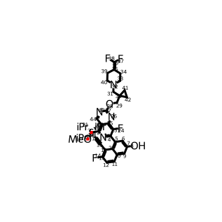 COCc1nc(-c2cc(O)cc3ccc(F)c(C#C[Si](C(C)C)(C(C)C)C(C)C)c23)c(F)c2nc(OCC3(CN4CCC(=C(F)F)CC4)CC3)ncc12